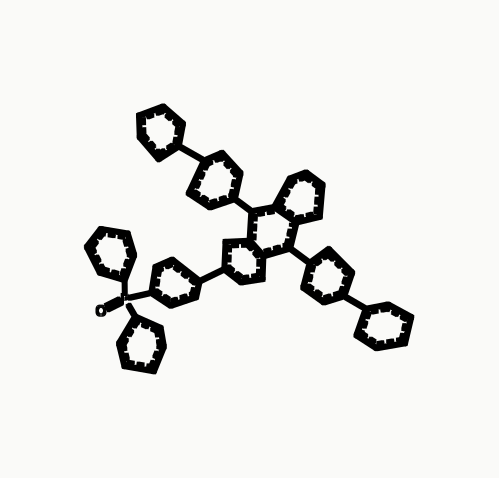 O=P(c1ccccc1)(c1ccccc1)c1ccc(-c2ccc3c(-c4ccc(-c5ccccc5)cc4)c4ccccc4c(-c4ccc(-c5ccccc5)cc4)c3c2)cc1